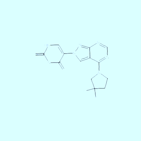 CCC1(C)CCN(c2ncnc3nn(-c4c[nH]c(=O)[nH]c4=O)cc23)C1